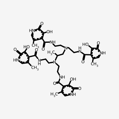 Cc1c[nH]c(=O)c(O)c1C(=O)NCCN(CCNC(=O)c1c(C)c[nH]c(=O)c1O)CC(C)N(CCNC(=O)c1c(C)c[nH]c(=O)c1O)CCNC(=O)c1c(C)c[nH]c(=O)c1O